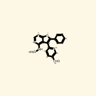 CCCCCCNc1ncnc2oc(-c3ccccc3)c(-c3ccc(C=O)cn3)c12